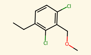 CCc1ccc(Cl)c(COC)c1Cl